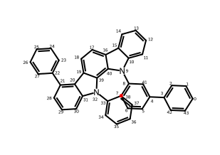 c1ccc(-c2cccc(-n3c4ccccc4c4ccc5c6c(-c7ccccc7)cccc6n(-c6ccccc6)c5c43)c2)cc1